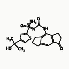 CC(C)(O)c1csc([S@](N)(=O)=NC(=O)Nc2c3c(cc4c2CCC4=O)CCC3)c1